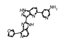 Nc1cncc(-c2ccc3[nH]nc(-c4nc5c(-c6ccoc6)nccc5[nH]4)c3n2)c1